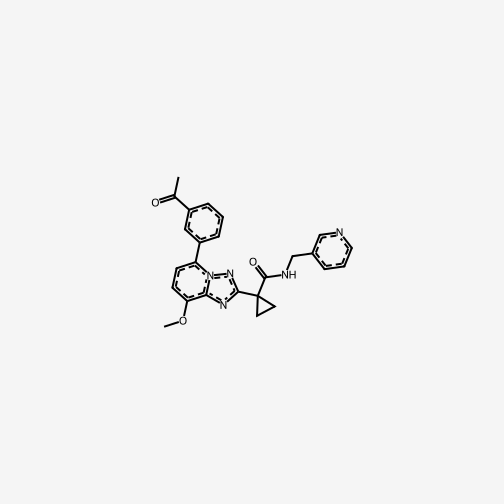 COc1ccc(-c2cccc(C(C)=O)c2)n2nc(C3(C(=O)NCc4cccnc4)CC3)nc12